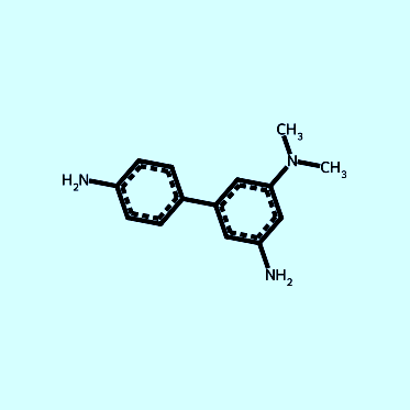 CN(C)c1cc(N)cc(-c2ccc(N)cc2)c1